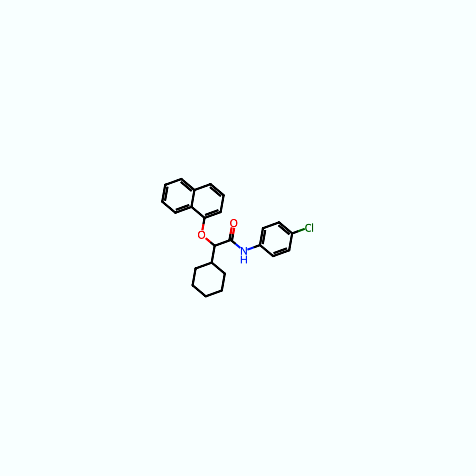 O=C(Nc1ccc(Cl)cc1)C(Oc1cccc2ccccc12)C1CCCCC1